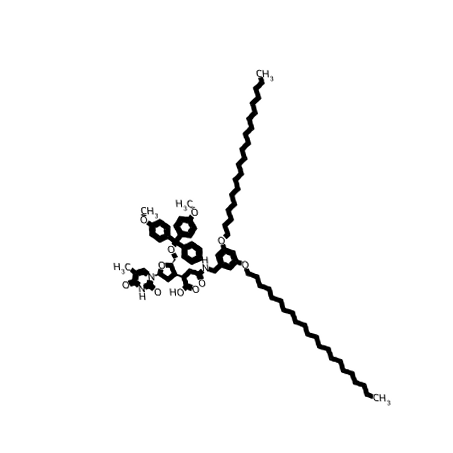 CCCCCCCCCCCCCCCCCCCCCCOc1cc(CNC(=O)CC(C(=O)O)[C@H]2C[C@H](n3cc(C)c(=O)[nH]c3=O)O[C@@H]2COC(c2ccccc2)(c2ccc(OC)cc2)c2ccc(OC)cc2)cc(OCCCCCCCCCCCCCCCCCCCCCC)c1